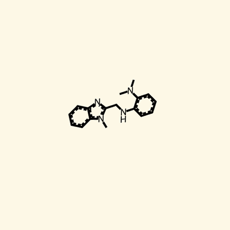 CN(C)c1ccccc1NCc1nc2ccccc2n1C